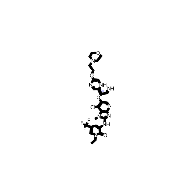 CCn1cc(C(F)(F)F)cc(Nc2nc3ncc(O/C(C=N)=C4\C=NC(OCCN5CCOCC5)=CN4)c(Cl)c3n2C)c1=O